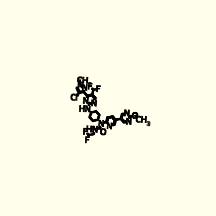 COc1ncc(-c2ccc(N(C(=O)NCC(F)F)[C@H]3CC[C@H](Nc4ncc(C(F)F)c(-c5nn(C)cc5Cl)n4)CC3)nc2)cn1